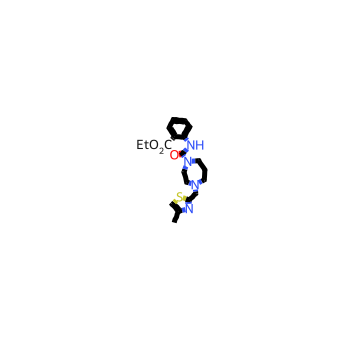 CCOC(=O)c1ccccc1NC(=O)N1CCCN(Cc2nc(C)cs2)CC1